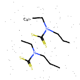 CCCN(CC)C(=S)[S-].CCCN(CC)C(=S)[S-].[Ca+2]